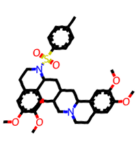 CCC1CN2CCc3cc(OC)c(OC)cc3C2CC1CC1c2cc(OC)c(OC)cc2CCN1S(=O)(=O)c1ccc(C)cc1